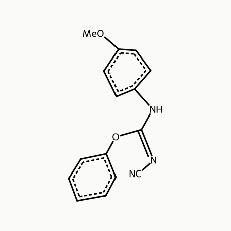 COc1ccc(NC(=NC#N)Oc2ccccc2)cc1